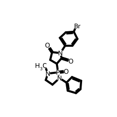 CN1CCN(c2ccccc2)P1(=O)C1CC(=O)N(c2ccc(Br)cc2)C1=O